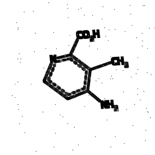 Cc1c(N)ccnc1C(=O)O